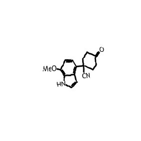 COc1ccc(C2(C#N)CCC(=O)CC2)c2cc[nH]c12